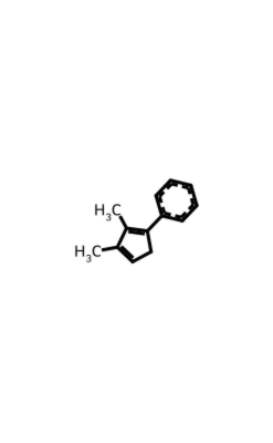 CC1=CCC(c2ccccc2)=C1C